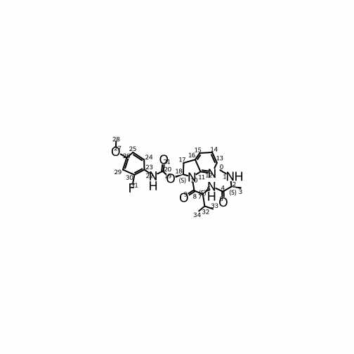 CN[C@@H](C)C(=O)N[C@H](C(=O)N1c2ncccc2C[C@@H]1OC(=O)Nc1ccc(OC)cc1F)C(C)C